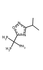 CC(C)c1noc(C(P)(P)P)n1